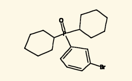 O=P(c1cccc(Br)c1)(C1CCCCC1)C1CCCCC1